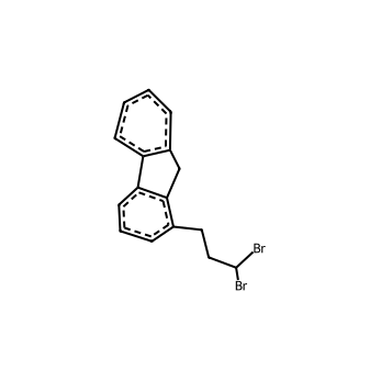 BrC(Br)CCc1cccc2c1Cc1ccccc1-2